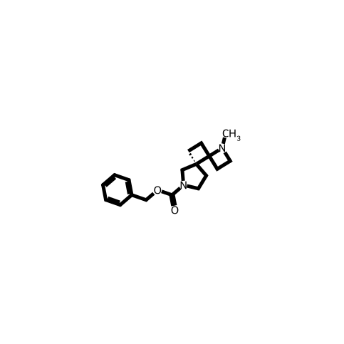 CN1CCC12CC[C@@]21CCN(C(=O)OCc2ccccc2)C1